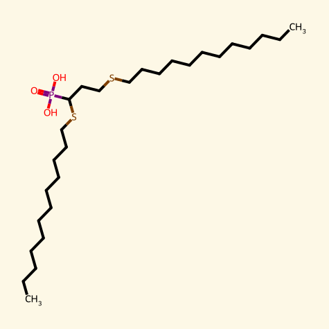 CCCCCCCCCCCCSCCC(SCCCCCCCCCCCC)P(=O)(O)O